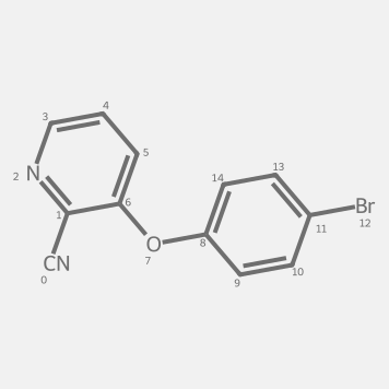 N#Cc1ncccc1Oc1ccc(Br)cc1